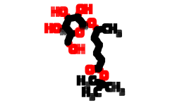 CC(CCCCC(=O)OC(C)(C)C)O[C@H]1OC(CO)[C@@H](O)C(O)C1O